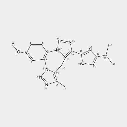 COc1ccc2c(c1)-n1nnc(C)c1Cc1c(-c3nc(C(C)C)co3)ncn1-2